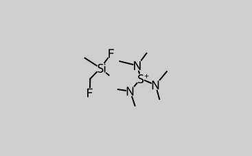 CN(C)[S+](N(C)C)N(C)C.C[Si](C)(F)CF